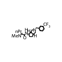 CCC[C@H](NC)C(=O)N[C@H]1CC[C@@H]2CN(Cc3cccc(C(F)(F)F)c3)C[C@@H]21